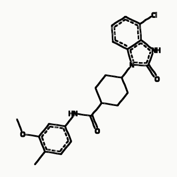 COc1cc(NC(=O)C2CCC(n3c(=O)[nH]c4c(Cl)cccc43)CC2)ccc1C